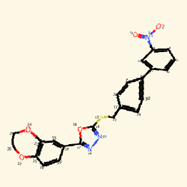 O=[N+]([O-])c1cccc(-c2ccc(CSc3nnc(-c4ccc5c(c4)OCCO5)o3)cc2)c1